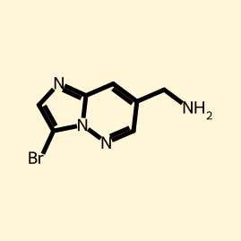 NCc1cnn2c(Br)cnc2c1